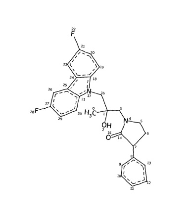 CC(O)(CN1CCC(c2ccccc2)C1=O)Cn1c2ccc(F)cc2c2cc(F)ccc21